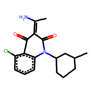 [CH2]C1CCCC(N2C(=O)C(=C(C)N)C(=O)c3c(Cl)cccc32)C1